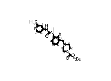 Cc1cc(NC(=O)Nc2cccc(CN3CCN(C(=O)OC(C)(C)C)CC3)c2F)ccn1